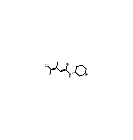 CC/C(=C\C(C)=C(/C)Cl)N[C@@H]1CCCNC1